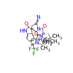 CC(C)N1[C@H](C(=O)N(C)[C@@H](CC(C)(C)C)C(=O)N2C[C@]3(C[C@H]2C#N)C(=O)Nc2ccccc23)CC[C@@H]1C(F)(F)F